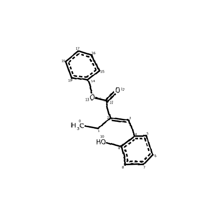 CCC(=Cc1ccccc1O)C(=O)Oc1ccccc1